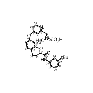 CN(Cc1cc(Oc2ccc3c(c2)CC(C(=O)Nc2cccc(C(C)(C)C)c2)CC3)ccn1)C(=O)O